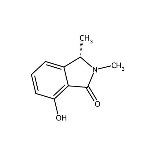 C[C@H]1c2cccc(O)c2C(=O)N1C